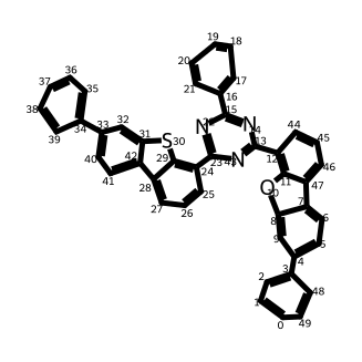 c1ccc(-c2ccc3c(c2)oc2c(-c4nc(-c5ccccc5)nc(-c5cccc6c5sc5cc(-c7ccccc7)ccc56)n4)cccc23)cc1